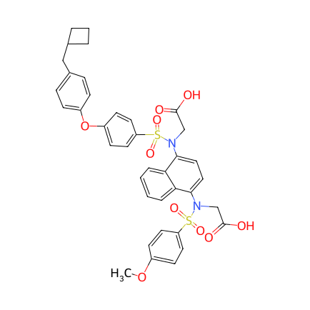 COc1ccc(S(=O)(=O)N(CC(=O)O)c2ccc(N(CC(=O)O)S(=O)(=O)c3ccc(Oc4ccc(CC5CCC5)cc4)cc3)c3ccccc23)cc1